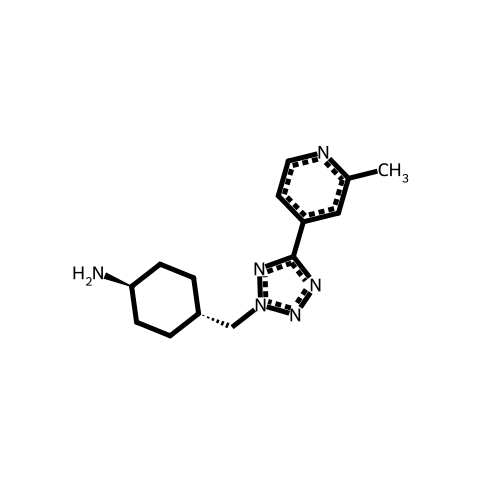 Cc1cc(-c2nnn(C[C@H]3CC[C@H](N)CC3)n2)ccn1